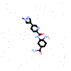 Cn1cc(-c2ccc(C(=O)Nc3cc(C(N)=O)ccc3N)nc2)cn1